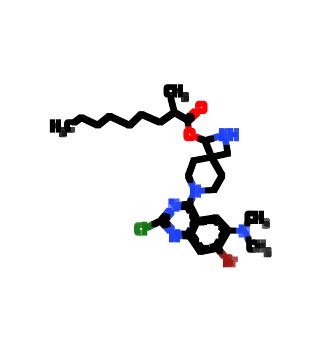 CCCCCCCC(C)C(=O)OC1NCC12CCN(c1nc(Cl)nc3cc(Br)c(N(C)C)cc13)CC2